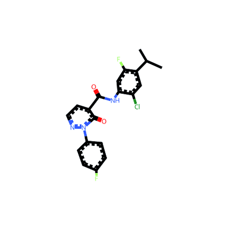 CC(C)c1cc(Cl)c(NC(=O)c2ccnn(-c3ccc(F)cc3)c2=O)cc1F